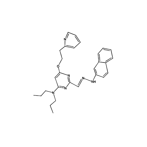 CCCN(CCC)c1cc(OCCc2ccccn2)nc(/C=N/Nc2ccc3ccccc3c2)n1